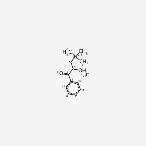 C[N+](C)(C)CC(O)C(=O)c1ccccc1.[I-]